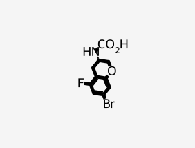 O=C(O)N[C@@H]1COc2cc(Br)cc(F)c2C1